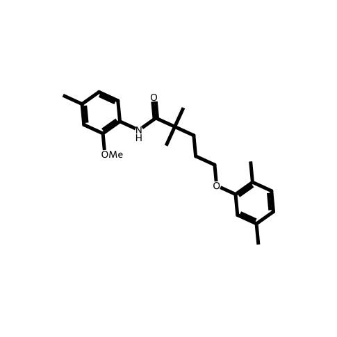 COc1cc(C)ccc1NC(=O)C(C)(C)CCCOc1cc(C)ccc1C